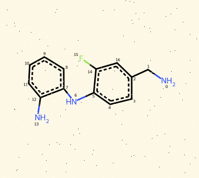 NCc1ccc(Nc2ccccc2N)c(F)c1